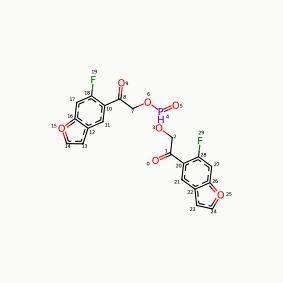 O=C(CO[PH](=O)OCC(=O)c1cc2ccoc2cc1F)c1cc2ccoc2cc1F